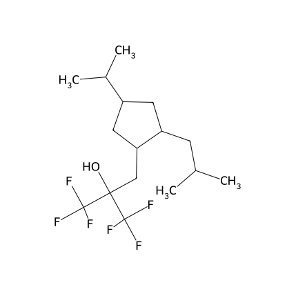 CC(C)CC1CC(C(C)C)CC1CC(O)(C(F)(F)F)C(F)(F)F